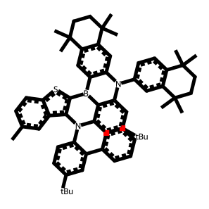 Cc1ccc2sc3c(c2c1)N(c1ccc(C(C)(C)C)cc1-c1ccccc1)c1cc(C(C)(C)C)cc2c1B3c1cc3c(cc1N2c1ccc2c(c1)C(C)(C)CCC2(C)C)C(C)(C)CCC3(C)C